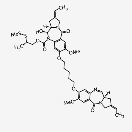 C/C=C1/C[C@H]2C=Nc3cc(OCCCCCOc4cc5c(cc4OC)C(=O)N4C/C(=C\C)C[C@H]4[C@H](O)N5C(=O)OC[C@@H](C)SSC)c(OC)cc3C(=O)N2C1